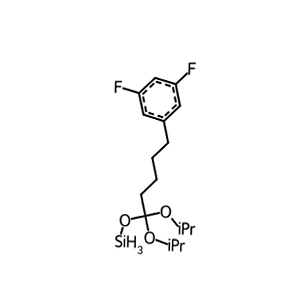 CC(C)OC(CCCCc1cc(F)cc(F)c1)(O[SiH3])OC(C)C